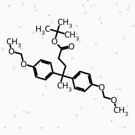 COCOc1ccc(C(C)(CCC(=O)OC(C)(C)C)c2ccc(OCOC)cc2)cc1